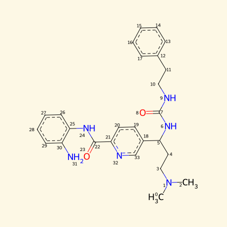 CN(C)CCC(NC(=O)NCCc1ccccc1)c1ccc(C(=O)Nc2ccccc2N)nc1